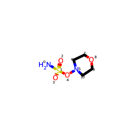 NS(=O)(=O)ON1CCOCC1